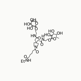 CCNC(=O)CCCCC(=O)N1CCC(CC(=O)NCCO[C@@H]2O[C@@H](C)[C@@H](O)[C@@H](O)[C@@H]2O)(CC(=O)NCCO[C@@H]2OC(C)C(O)C(O)[C@@H]2O)CC1